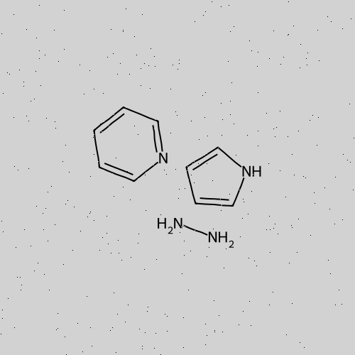 NN.c1cc[nH]c1.c1ccncc1